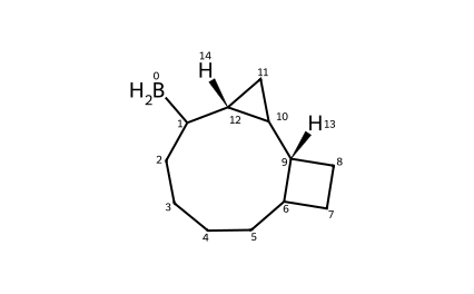 BC1CCCCC2CC[C@H]2C2C[C@@H]12